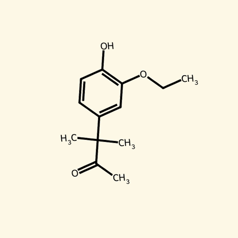 CCOc1cc(C(C)(C)C(C)=O)ccc1O